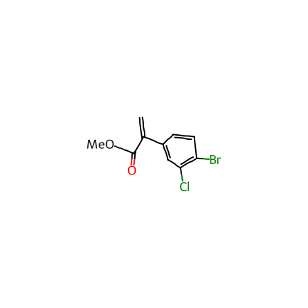 C=C(C(=O)OC)c1ccc(Br)c(Cl)c1